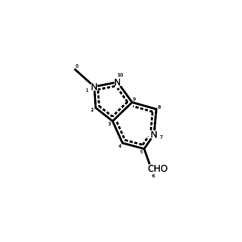 Cn1cc2cc(C=O)ncc2n1